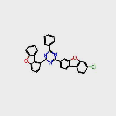 Clc1ccc2c(c1)oc1cc(-c3nc(-c4ccccc4)nc(-c4cccc5oc6ccccc6c45)n3)ccc12